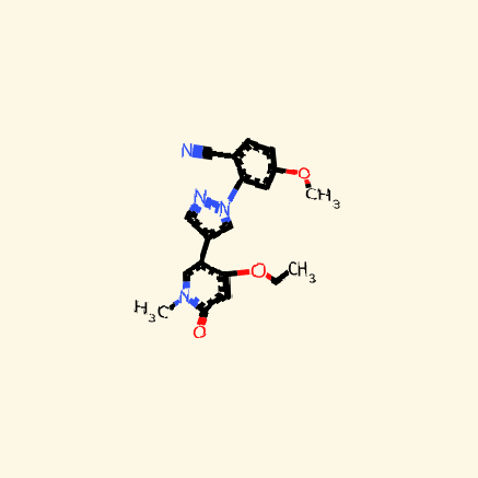 CCOc1cc(=O)n(C)cc1-c1cnn(-c2cc(OC)ccc2C#N)c1